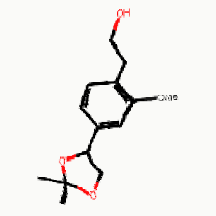 COc1cc(C2COC(C)(C)O2)ccc1CCO